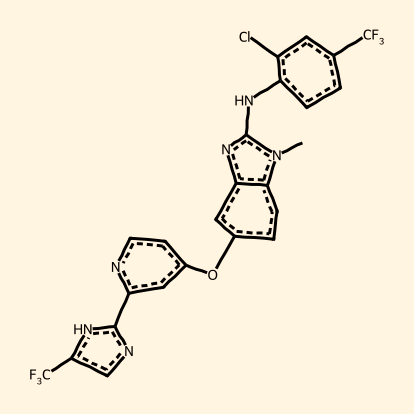 Cn1c(Nc2ccc(C(F)(F)F)cc2Cl)nc2cc(Oc3ccnc(-c4ncc(C(F)(F)F)[nH]4)c3)ccc21